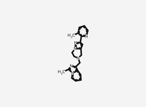 Cc1cccnc1-c1cc2n(n1)CCN(Cc1nc(C)n3ccccc13)C2